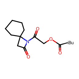 CCC(C)C(=O)OCC(=O)N1C(=O)CC12CCCCC2